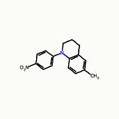 Cc1ccc2c(c1)CCCN2c1ccc([N+](=O)[O-])cc1